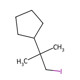 CC(C)(CI)C1CCCC1